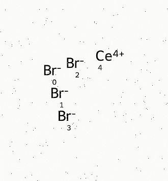 [Br-].[Br-].[Br-].[Br-].[Ce+4]